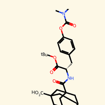 CN(C)C(=O)Oc1ccc(C[C@H](NC(=O)C23CC4CC(CC(C(=O)O)(C4)C2)C3)C(=O)OC(C)(C)C)cc1